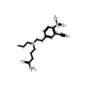 CCCN(CCCC(N)=O)CCc1ccc([N+](=O)[O-])c(C#N)c1